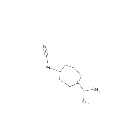 CC(C)N1CCCC(NC#N)CC1